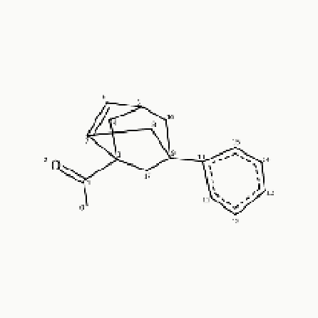 CC(=O)C12CC3C=C1CC(c1ccccc1)(C3)C2